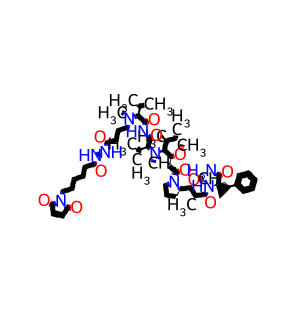 CC[C@H](C)[C@@H]([C@@H](CC(=O)N1CCC[C@H]1[C@H](OC)[C@@H](C)C(=O)N[C@@]1(C(N)=O)C[C@@H]1c1ccccc1)OC)N(C)[C@H](C(=O)NC(=O)[C@H](C(C)C)N(C)CCCC(=O)NNC(=O)CCCCCN1C(=O)C=CC1=O)C(C)C